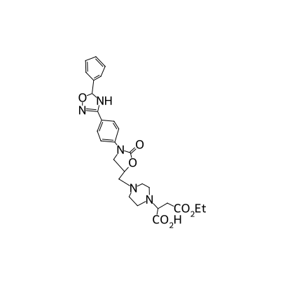 CCOC(=O)CC(C(=O)O)N1CCN(CC2CN(c3ccc(C4=NOC(c5ccccc5)N4)cc3)C(=O)O2)CC1